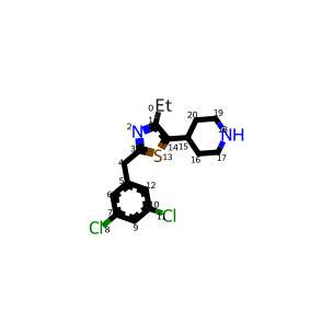 CCc1nc(Cc2cc(Cl)cc(Cl)c2)sc1C1CCNCC1